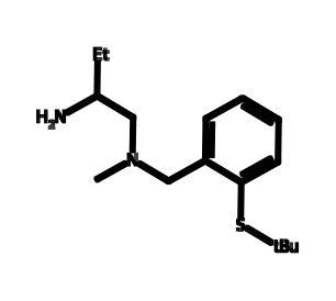 CCC(N)CN(C)Cc1ccccc1SC(C)(C)C